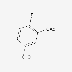 CC(=O)Oc1cc(C=O)ccc1F